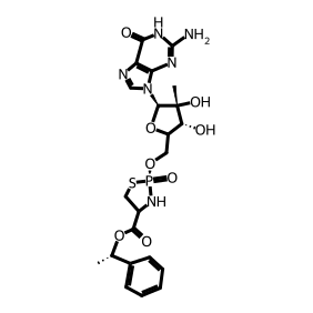 C[C@H](OC(=O)C1CS[P@](=O)(OCC2O[C@@H](n3cnc4c(=O)[nH]c(N)nc43)[C@](C)(O)[C@@H]2O)N1)c1ccccc1